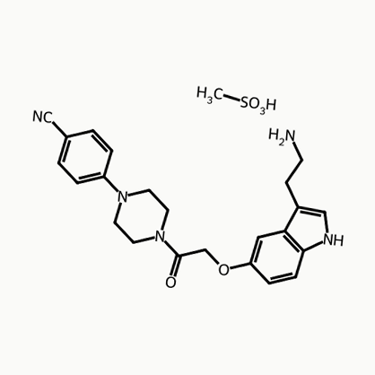 CS(=O)(=O)O.N#Cc1ccc(N2CCN(C(=O)COc3ccc4[nH]cc(CCN)c4c3)CC2)cc1